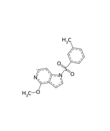 COc1n[c]cc2c1ccn2S(=O)(=O)c1cccc(C)c1